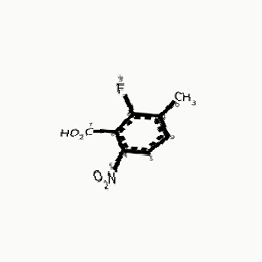 Cc1ccc([N+](=O)[O-])c(C(=O)O)c1F